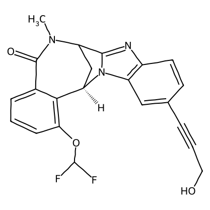 CN1C(=O)c2cccc(OC(F)F)c2[C@H]2CC1c1nc3ccc(C#CCO)cc3n12